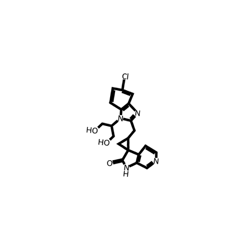 O=C1Nc2cnccc2C12CC2Cc1nc2cc(Cl)ccc2n1C(CO)CO